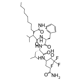 CCCCCCCCC(C(N)=O)[C@@H](C(=O)N[C@@H](Cc1ccccc1)C(=O)N[C@@H](CC(C)C)C(=O)NC(CCC(N)=O)C(O)C(F)(F)F)C(C)C